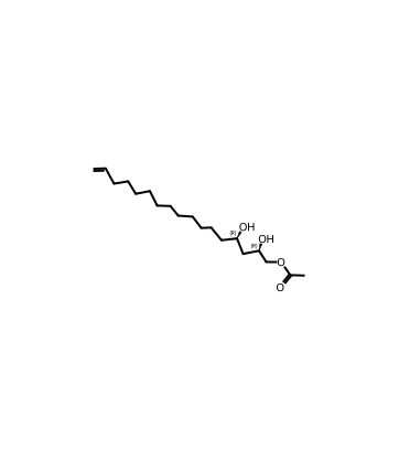 C=CCCCCCCCCCCC[C@@H](O)C[C@@H](O)COC(C)=O